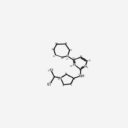 CCC(CC)N1CCC(Nc2nccc(N3CCCCCC3)n2)C1